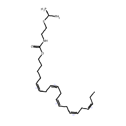 CC/C=C\C/C=C\C/C=C\C/C=C\C/C=C\CCCCOC(=O)NCCSC(P)P